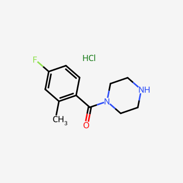 Cc1cc(F)ccc1C(=O)N1CCNCC1.Cl